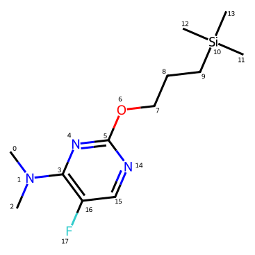 CN(C)c1nc(OCCC[Si](C)(C)C)ncc1F